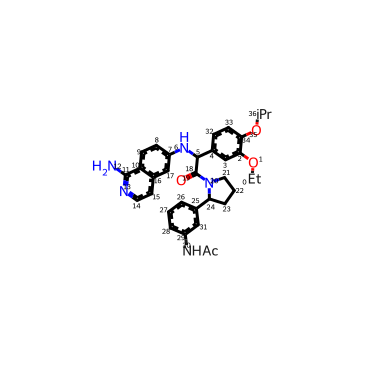 CCOc1cc(C(Nc2ccc3c(N)nccc3c2)C(=O)N2CCCC2c2cccc(NC(C)=O)c2)ccc1OC(C)C